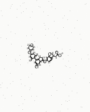 COC(=O)CC1COc2cc(O[C@@H]3CCc4c(-c5c(C)cc(OC6CCOCC6)cc5C)cc(Cl)cc43)ccc21